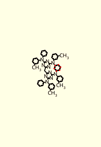 Cc1cccc(N(c2ccccc2)c2nc(Cc3nc(N(c4ccccc4)c4cccc(C)c4)nc(N(c4ccccc4)c4cccc(C)c4)n3)nc(N(c3ccccc3)c3cccc(C)c3)n2)c1